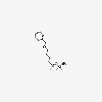 C[C@H](CCCCOCc1ccccc1)O[Si](C)(C)C(C)(C)C